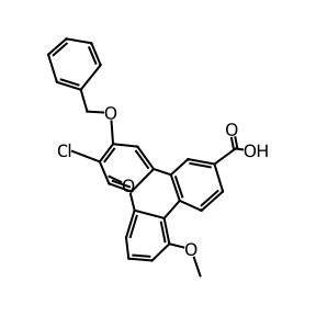 COc1cccc(OC)c1-c1ccc(C(=O)O)cc1-c1ccc(Cl)c(OCc2ccccc2)c1